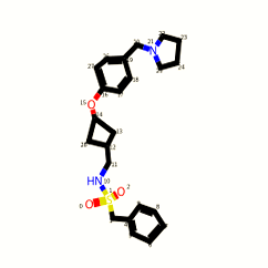 O=S(=O)(Cc1ccccc1)NCC1CC(Oc2ccc(CN3CCCC3)cc2)C1